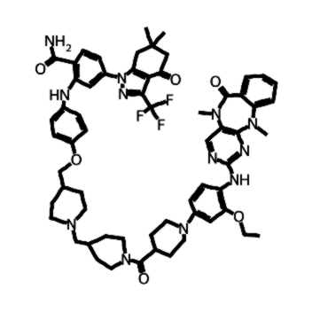 CCOc1cc(N2CCC(C(=O)N3CCC(CN4CCC(COc5ccc(Nc6cc(-n7nc(C(F)(F)F)c8c7CC(C)(C)CC8=O)ccc6C(N)=O)cc5)CC4)CC3)CC2)ccc1Nc1ncc2c(n1)N(C)c1ccccc1C(=O)N2C